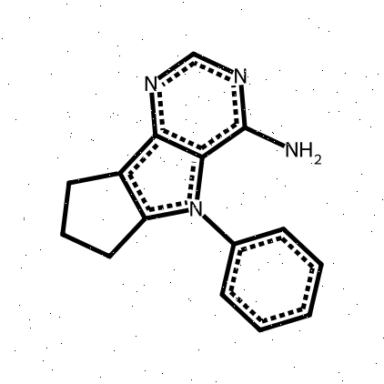 Nc1ncnc2c3c(n(-c4ccccc4)c12)CCC3